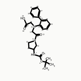 CC(C)(C)OC(=O)NC1CCN(C(=O)CN(CC(=O)O)c2ccccc2-c2ccccc2)C1